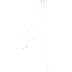 CC(C)(C)OC(=O)O.NCCCOCCCN